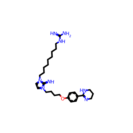 N=C(N)NCCCCCCCCCn1ccn(CCCCOc2ccc(C3=NCCCN3)cc2)c1=N